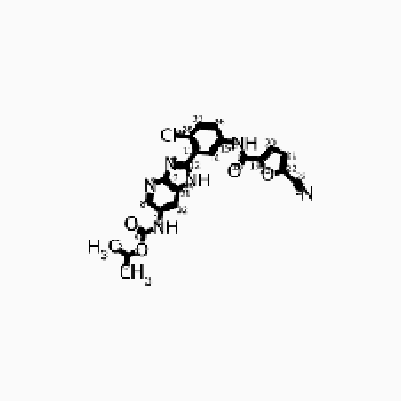 CC(C)OC(=O)Nc1cnc2nc(-c3cc(NC(=O)c4ccc(C#N)o4)ccc3Cl)[nH]c2c1